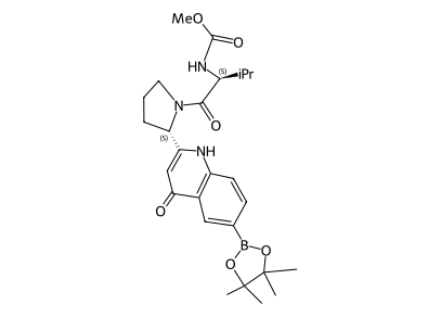 COC(=O)N[C@H](C(=O)N1CCC[C@H]1c1cc(=O)c2cc(B3OC(C)(C)C(C)(C)O3)ccc2[nH]1)C(C)C